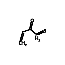 C=CC(=O)[PH2]=S